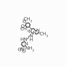 COc1ccc(-c2cc3nc(C)cn3c(NCCNc3ccc([N+](=O)[O-])c(N)n3)n2)cc1OC